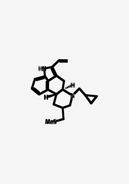 C=Cc1[nH]c2cccc3c2c1C[C@@H]1[C@@H]3CC(CSC)CN1CC1CC1